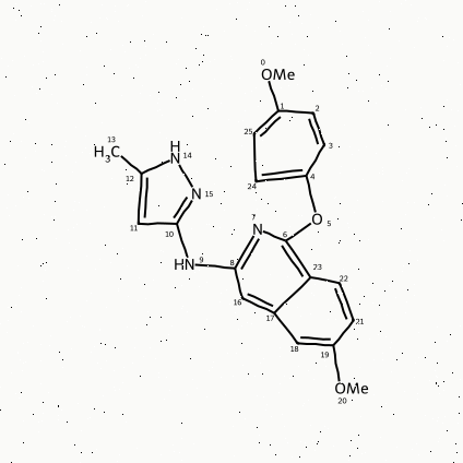 COc1ccc(Oc2nc(Nc3cc(C)[nH]n3)cc3cc(OC)ccc23)cc1